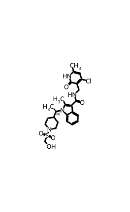 Cc1cc(Cl)c(CNC(=O)c2c(C)n([C@H](C)C3CCN(S(=O)(=O)CO)CC3)c3ccccc23)c(=O)[nH]1